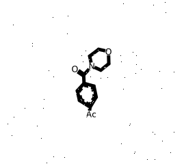 CC(=O)c1ccc(C(=O)N2CCOCC2)cc1